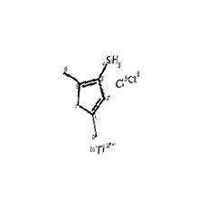 CC1=CC([SiH3])=C(C)C1.[Cl-].[Cl-].[Ti+2]